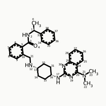 C[C@H](NC(=O)c1ccccc1CN[C@H]1CC[C@@H](Nc2nc(N(C)C)c3ccccc3n2)CC1)c1ccccc1